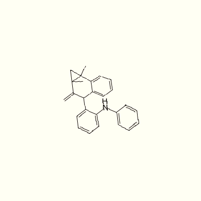 C=C1C(c2ccccc2Nc2ccccc2)c2ccccc2C2(C)CC12C